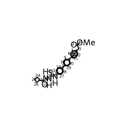 COC(=O)CC12CCC(c3ccc(-c4ccc(NC(=S)NNC(=O)C5CCC5)cc4)cc3)(CC1)CO2